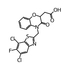 O=C(O)CC1Oc2ccccc2N(Cc2nc3cc(Cl)c(F)c(Cl)c3s2)C1=O